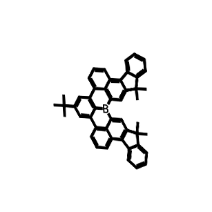 CC(C)(C)c1cc2c3c(c1)-c1cccc4c5c(cc(c14)B3c1cc3c(c4cccc-2c14)-c1ccccc1C3(C)C)C(C)(C)c1ccccc1-5